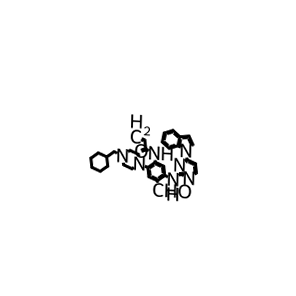 C=CC(=O)Nc1cc(Nc2nccc(-n3ccc4ccccc43)n2)c(C=O)cc1N1CCN(CC2CCCCC2)CC1